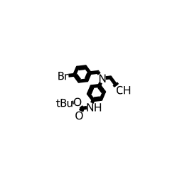 C#CCN(Cc1ccc(Br)cc1)c1ccc(NC(=O)OC(C)(C)C)cc1